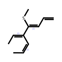 C=C/C=C(SC)/C(/C=C\C)=C/C